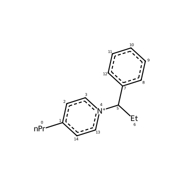 CCCc1cc[n+](C(CC)c2ccccc2)cc1